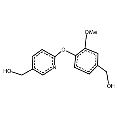 COc1cc(CO)ccc1Oc1ccc(CO)cn1